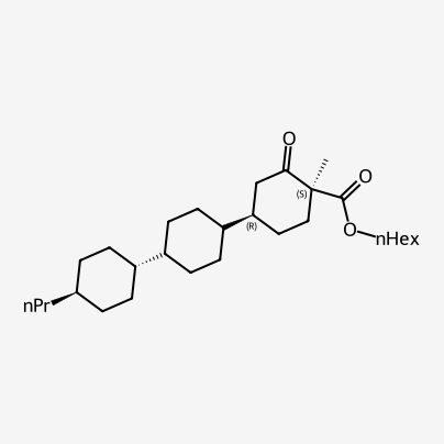 CCCCCCOC(=O)[C@@]1(C)CC[C@@H](C2CCC([C@H]3CC[C@H](CCC)CC3)CC2)CC1=O